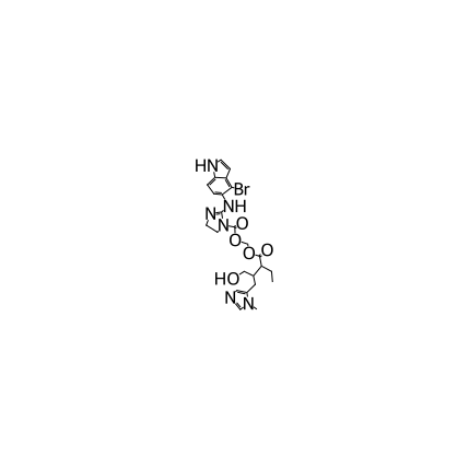 CCC(C(=O)OCOC(=O)N1CCN=C1Nc1ccc2[nH]ccc2c1Br)C(CO)Cc1cncn1C